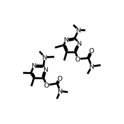 Cc1nc(N(C)C)nc(OC(=O)N(C)C)c1C.Cc1nc(N(C)C)nc(OC(=O)N(C)C)c1C